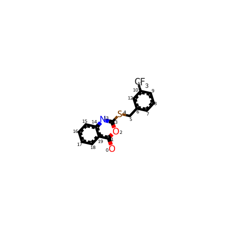 O=c1oc(SCc2cccc(C(F)(F)F)c2)nc2ccccc12